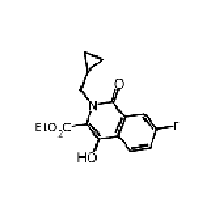 CCOC(=O)c1c(O)c2ccc(F)cc2c(=O)n1CC1CC1